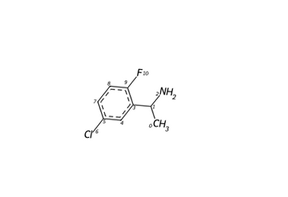 CC(N)c1cc(Cl)ccc1F